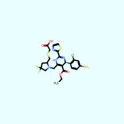 CCOC(=O)C1=C(CN2CC(F)(F)CC2CSCC(=O)O)NC(c2nccs2)=N[C@H]1c1ccc(P)cc1Cl